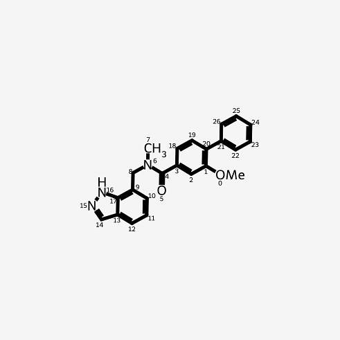 COc1cc(C(=O)N(C)Cc2cccc3cn[nH]c23)ccc1-c1ccccc1